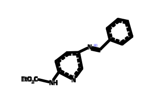 CCOC(=O)Nc1ccc(/N=C/c2ccccc2)cn1